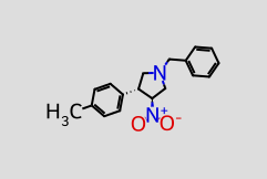 Cc1ccc([C@@H]2CN(Cc3ccccc3)C[C@H]2[N+](=O)[O-])cc1